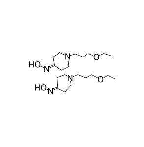 CCOCCCN1CCC(=NO)CC1.CCOCCCN1CCC(=NO)CC1